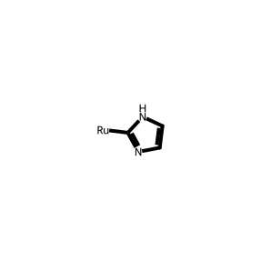 [Ru][c]1ncc[nH]1